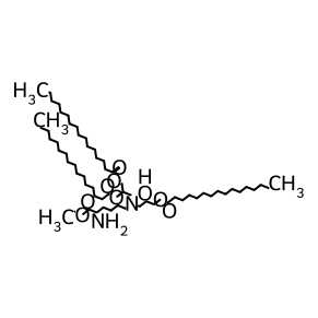 CCCCCCCCCCCCCCCC(=O)OCC(O)CN(CCCCC(N)C(=O)OCC)CC(COC(=O)CCCCCCCCCCCCCCC)OC(=O)CCCCCCCCCCCCCCC